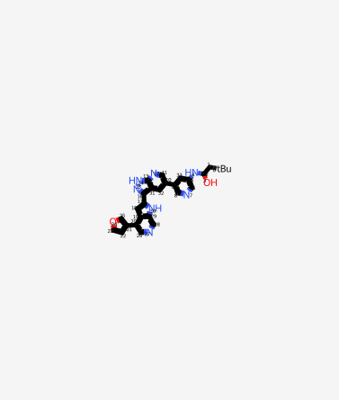 CC(C)(C)CC(O)Nc1cncc(-c2cnc3[nH]nc(-c4cc5c(-c6ccoc6)cncc5[nH]4)c3c2)c1